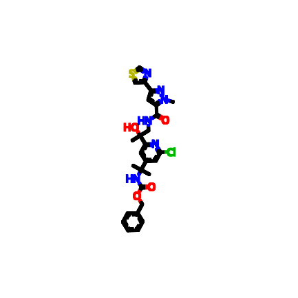 Cn1nc(-c2cscn2)cc1C(=O)NCC(C)(O)c1cc(C(C)(C)NC(=O)OCc2ccccc2)cc(Cl)n1